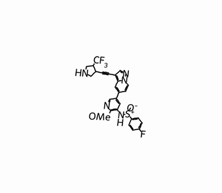 COc1ncc(-c2ccn3ncc(C#CC4CNCC4C(F)(F)F)c3c2)cc1N[S+]([O-])c1ccc(F)cc1